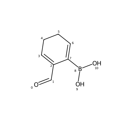 O=CC1=CCCC=C1B(O)O